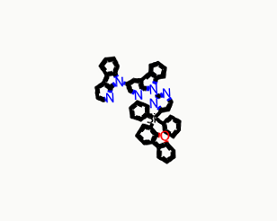 c1ccc([Si](c2ccccc2)(c2ccnc(-n3c4ccccc4c4cc(-n5c6ccccc6c6cccnc65)cnc43)n2)c2cccc3c2oc2ccccc23)cc1